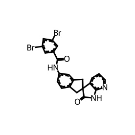 O=C(Nc1ccc2c(c1)CC1(C2)C(=O)Nc2ncccc21)c1cc(Br)cc(Br)c1